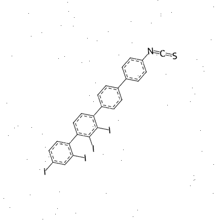 S=C=Nc1ccc(-c2ccc(-c3ccc(-c4ccc(I)cc4I)c(I)c3I)cc2)cc1